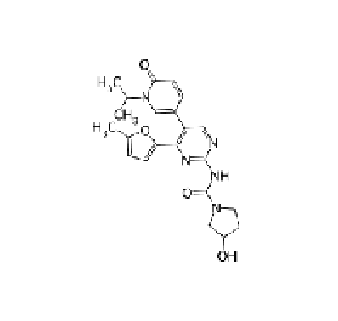 Cc1ccc(-c2nc(NC(=O)N3CCC(O)C3)ncc2-c2ccc(=O)n(C(C)C)c2)o1